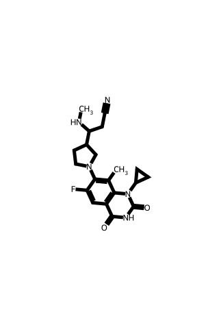 CNC(CC#N)C1CCN(c2c(F)cc3c(=O)[nH]c(=O)n(C4CC4)c3c2C)C1